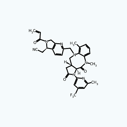 C=CC(=O)N1Cc2nc(CN3C[C@H]4CC(=O)N(c5cc(C(F)(F)F)cc(C)n5)[C@@H]4C(=O)N(C)c4cccc(C)c43)ccc2[C@H]1CC#N